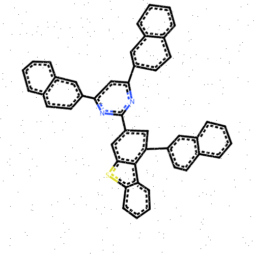 c1ccc2cc(-c3cc(-c4ccc5ccccc5c4)nc(-c4cc(-c5ccc6ccccc6c5)c5c(c4)sc4ccccc45)n3)ccc2c1